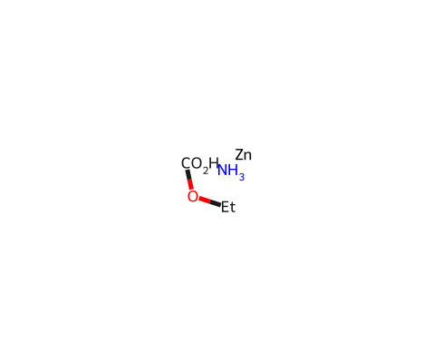 CCOC(=O)O.N.[Zn]